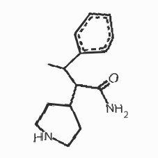 CC(c1ccccc1)C(C(N)=O)C1CCNCC1